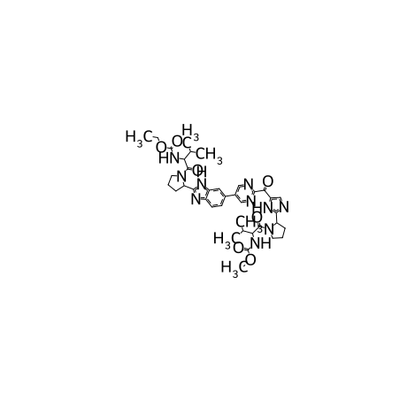 CCOC(=O)NC(C(=O)N1CCCC1c1nc2ccc(-c3cnc(C(=O)c4cnc(C5CCCN5C(=O)C(NC(=O)OC)C(C)C)[nH]4)nc3)cc2[nH]1)C(C)C